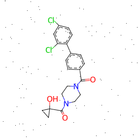 O=C(c1ccc(-c2ccc(Cl)cc2Cl)cc1)N1CCN(C(=O)C2(O)CC2)CC1